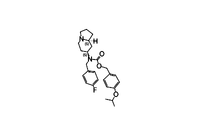 CC(C)Oc1ccc(COC(=O)N(Cc2ccc(F)cc2)[C@H]2CCN3CCC[C@H]3C2)cc1